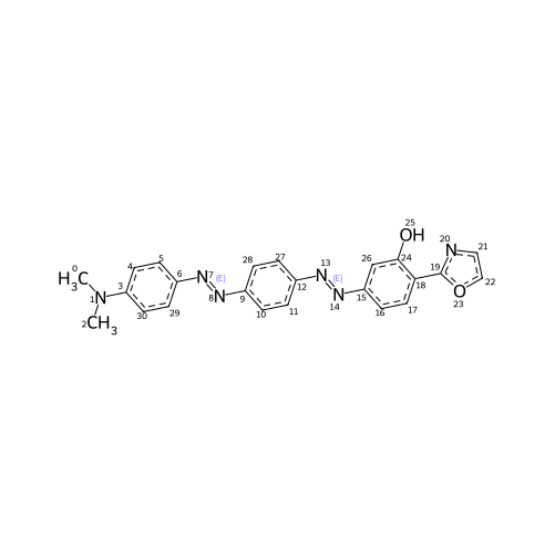 CN(C)c1ccc(/N=N/c2ccc(/N=N/c3ccc(-c4ncco4)c(O)c3)cc2)cc1